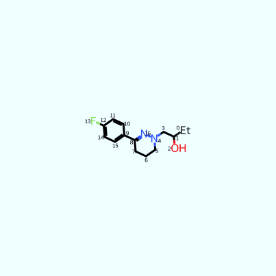 CCC(O)CN1CCCC(c2ccc(F)cc2)=N1